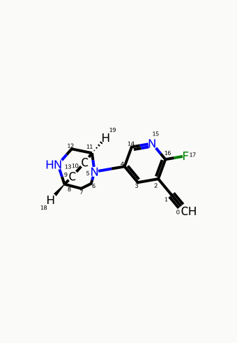 C#Cc1cc(N2CC[C@H]3CC[C@H]2CN3)cnc1F